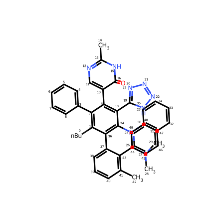 CCCCc1c(-c2ccccc2)c(-c2cnc(C)[nH]c2=O)c(-c2nnn[nH]2)c([N+](=CN(C)C)c2ccccc2)c1-c1cccc(C)c1-c1ccccc1